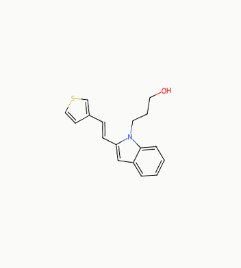 OCCCn1c(C=Cc2ccsc2)cc2ccccc21